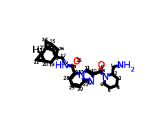 NCC1CCCCN1C(=O)c1cn2c(C(=O)NCC34CC5C[C@@H]5C5(CC5C3)C4)cccc2n1